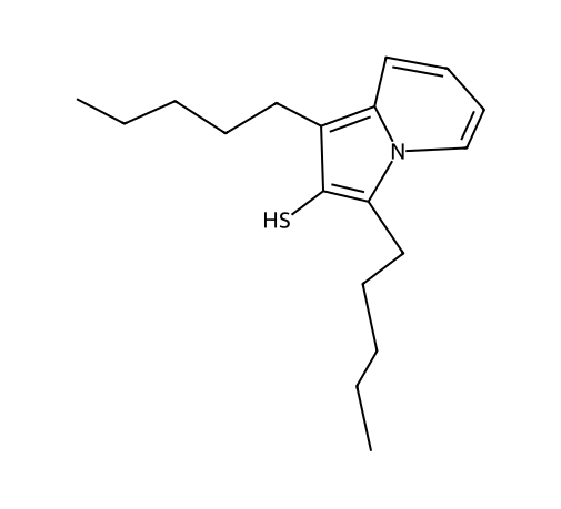 CCCCCc1c(S)c(CCCCC)n2ccccc12